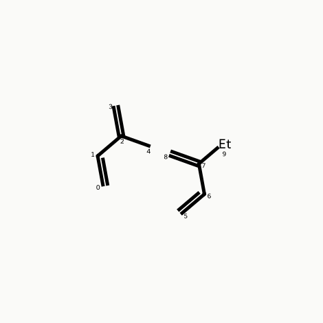 C=CC(=C)C.C=CC(=C)CC